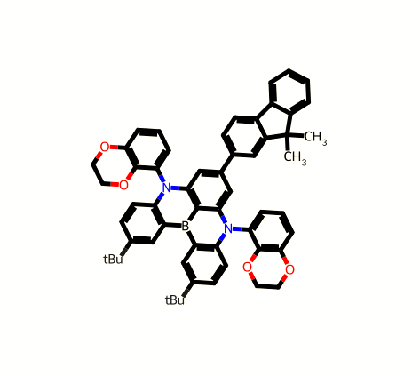 CC(C)(C)c1ccc2c(c1)B1c3cc(C(C)(C)C)ccc3N(c3cccc4c3OCCO4)c3cc(-c4ccc5c(c4)C(C)(C)c4ccccc4-5)cc(c31)N2c1cccc2c1OCCO2